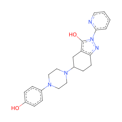 Oc1ccc(N2CCN(C3CCc4nn(-c5ccccn5)c(O)c4C3)CC2)cc1